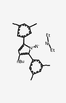 CCCCC1=C(c2cc(C)cc(C)c2)[N+](=[N-])C(c2cc(C)cc(C)c2)=C1.C[CH2][Ni][CH2]C